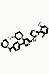 COc1cccc(F)c1-c1nccc(Nc2cc(N3CCC[C@H](N)C3)c(-c3ccc(C(=O)N4CCOCC4)cc3)cn2)n1